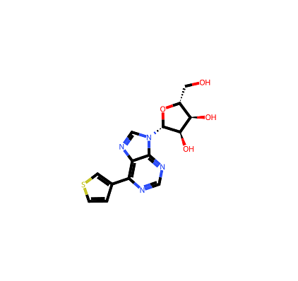 OC[C@H]1O[C@@H](n2cnc3c(-c4ccsc4)ncnc32)[C@H](O)[C@@H]1O